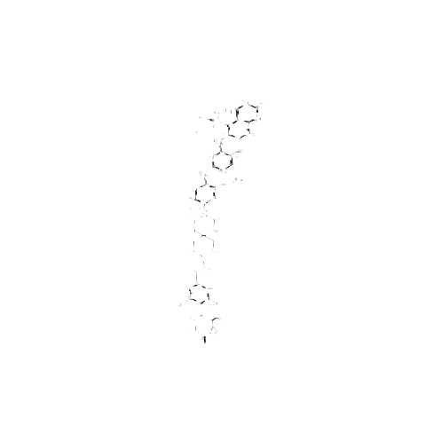 CCc1ncc2c(P(C)(C)=O)c(Nc3nc(Nc4cc(CC)c(N5CCC6(CCN(CCc7cc(F)c([C@H]8CCC(=O)NC8=O)c(F)c7)CC6)CC5)cc4OC)ncc3Br)ccc2n1